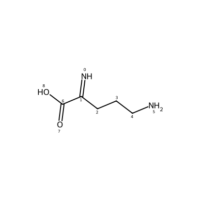 N=C(CCCN)C(=O)O